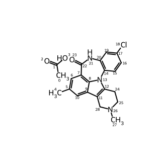 CC(=O)O.Cc1cc2c3c(c1)c1c(n3-c3ccc(Cl)cc3NC2=O)CCN(C)C1